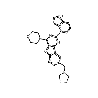 c1cc(-c2nc(N3CCOCC3)c3oc4ncc(CN5CCSC5)cc4c3n2)c2cc[nH]c2c1